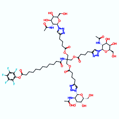 CC(=O)N[C@@H]1[C@@H](O)[C@@H](O)[C@@H](CO)O[C@H]1n1cc(CCCC(=O)OCC(COC(=O)CCCc2cn([C@@H]3O[C@H](CO)[C@H](O)[C@H](O)[C@H]3NC(C)=O)nn2)(COC(=O)CCCc2cn([C@@H]3O[C@H](CO)[C@H](O)[C@H](O)[C@H]3NC(C)=O)nn2)NC(=O)CCCCCCCCCCC(=O)Oc2c(F)c(F)c(F)c(F)c2F)nn1